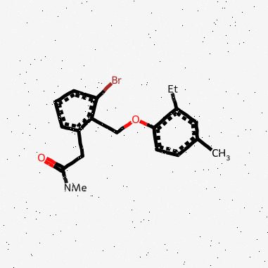 CCc1cc(C)ccc1OCc1c(Br)cccc1CC(=O)NC